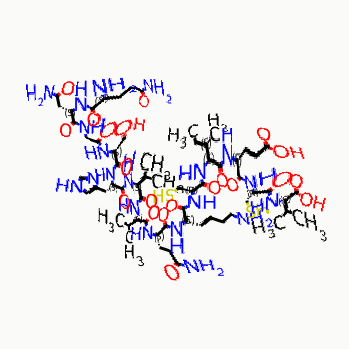 CC[C@H](C)[C@H](NC(=O)[C@H](CS)NC(=O)[C@H](CCCCN)NC(=O)[C@H](CCC(N)=O)NC(=O)[C@@H](NC(=O)[C@@H](NC(=O)[C@H](Cc1c[nH]cn1)NC(=O)[C@H](CO)NC(=O)CNC(=O)[C@H](CC(N)=O)NC(=O)[C@@H](N)CCC(N)=O)C(C)C)C(C)C)C(=O)N[C@@H](CCC(=O)O)C(=O)N[C@@H](CS)C(=O)N[C@H](C(=O)O)C(C)C